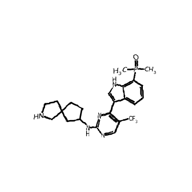 CP(C)(=O)c1cccc2c(-c3nc(NC4CCC5(CCNC5)C4)ncc3C(F)(F)F)c[nH]c12